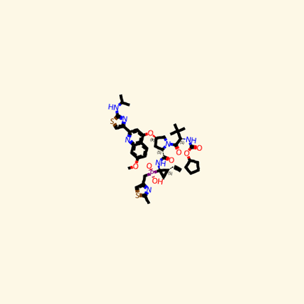 C=C[C@@H]1C[C@]1(NC(=O)[C@@H]1C[C@@H](Oc2cc(-c3csc(NC(C)C)n3)nc3cc(OC)ccc23)CN1C(=O)[C@@H](NC(=O)OC1CCCC1)C(C)(C)C)P(=O)(O)Cc1csc(C)n1